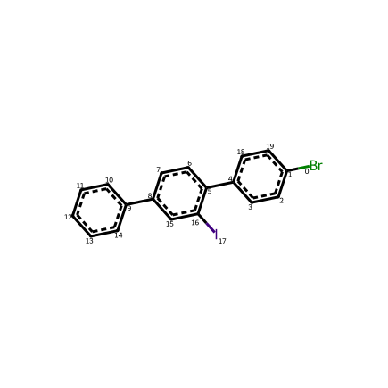 Brc1ccc(-c2ccc(-c3ccccc3)cc2I)cc1